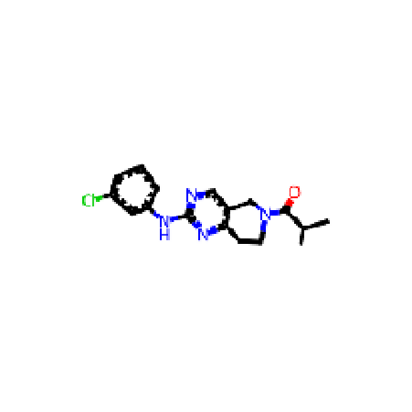 CC(C)C(=O)N1CCc2nc(Nc3cccc(Cl)c3)ncc2C1